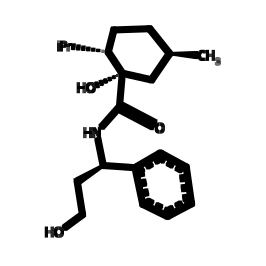 CC(C)[C@@H]1CC[C@@H](C)C[C@@]1(O)C(=O)N[C@H](CCO)c1ccccc1